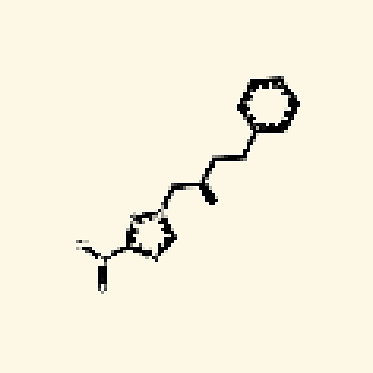 O=C(CCc1ccccc1)Cn1cnc([N+](=O)[O-])n1